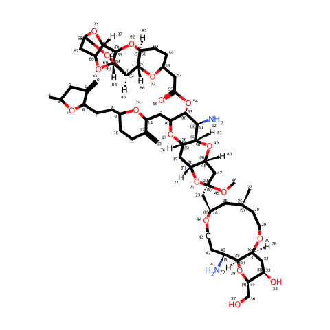 C=C1CC(C)OC1CCC1CCC(=C)C(CC2O[C@H]3C[C@H]4O[C@](C[C@H]5C[C@@H](C)CCO[C@H]6C[C@@H](O)[C@@H](CO)O[C@H]6[C@@H](N)CCO5)(OC)C[C@H]4O[C@H]3[C@H](N)[C@H]2OC(=O)CC2CC[C@@H]3O[C@@H]4[C@H]5OC6CC(O[C@H]5[C@H]3O2)O[C@@H]64)O1